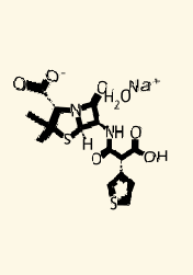 CC1(C)S[C@@H]2[C@H](NC(=O)[C@H](C(=O)O)c3ccsc3)C(=O)N2[C@H]1C(=O)[O-].O.[Na+]